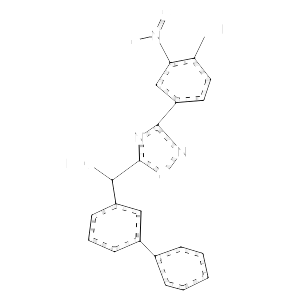 Cc1ccc(-c2noc(C(C)c3cccc(-c4ccccc4)c3)n2)cc1[N+](=O)[O-]